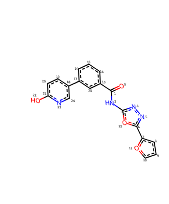 O=C(Nc1nnc(-c2ccco2)o1)c1cccc(-c2ccc(O)nc2)c1